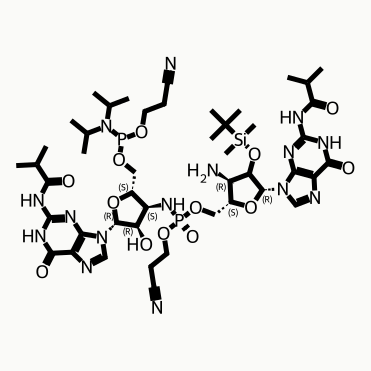 CC(C)C(=O)Nc1nc2c(ncn2[C@@H]2O[C@H](COP(=O)(N[C@H]3[C@@H](O)[C@H](n4cnc5c(=O)[nH]c(NC(=O)C(C)C)nc54)O[C@@H]3COP(OCCC#N)N(C(C)C)C(C)C)OCCC#N)[C@@H](N)C2O[Si](C)(C)C(C)(C)C)c(=O)[nH]1